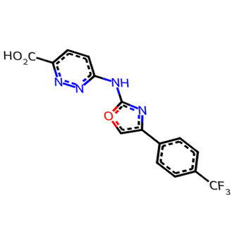 O=C(O)c1ccc(Nc2nc(-c3ccc(C(F)(F)F)cc3)co2)nn1